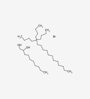 CCCCCCCCC(O)CO.CCCCCCCCCCCC[P+](CCCC)(CCCC)CCCC.[Br-]